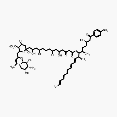 C/C=C/C=C/C=C/C=C/C=C/C(C)C(OC(=O)CC(=O)CC(O)CC(O)CCCC(O)CC(O)CC1(O)CC(O)C(C(=O)O)C(CC(/C=C/C)O[C@@H]2OC[C@@H](O)[C@H](N)[C@@H]2O)O1)C(C)CCC(O)CC(=O)c1ccc(N)cc1